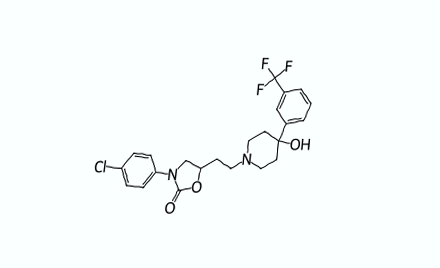 O=C1OC(CCN2CCC(O)(c3cccc(C(F)(F)F)c3)CC2)CN1c1ccc(Cl)cc1